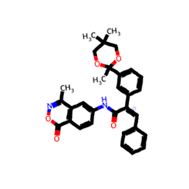 Cc1noc(=O)c2ccc(NC(=O)/C(=C\c3ccccc3)c3cccc(C4(C)OCC(C)(C)CO4)c3)cc12